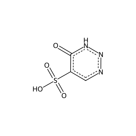 O=c1[nH]nncc1S(=O)(=O)O